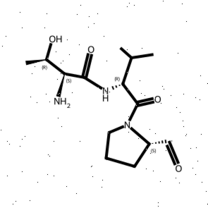 CC(C)[C@@H](NC(=O)[C@@H](N)[C@@H](C)O)C(=O)N1CCC[C@H]1[C]=O